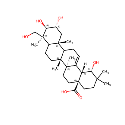 CC1(C)CC[C@]2(C(=O)O)CC[C@]3(C)C(=CCC4[C@@]5(C)C[C@@H](O)[C@H](O)[C@](C)(CO)C5CC[C@]43C)[C@@H]2[C@@H]1O